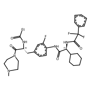 CCC(=O)N[C@H](Cc1ccc(NC(=O)[C@@H](NC(=O)C(F)(F)c2ccccc2)C2CCCCC2)c(F)c1)C(=O)N1CCN(C)CC1